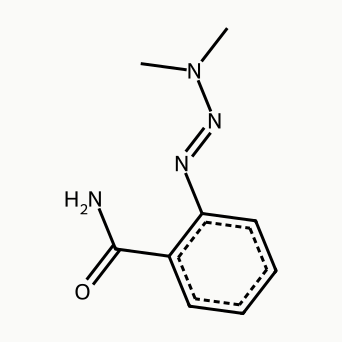 CN(C)N=Nc1ccccc1C(N)=O